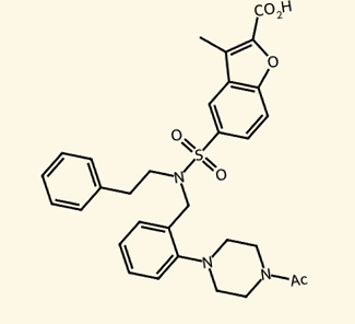 CC(=O)N1CCN(c2ccccc2CN(CCc2ccccc2)S(=O)(=O)c2ccc3oc(C(=O)O)c(C)c3c2)CC1